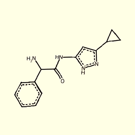 NC(C(=O)Nc1cc(C2CC2)n[nH]1)c1ccccc1